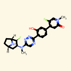 CN(c1cnc(-c2ccc(-c3cc(=O)n(C)cc3F)cc2O)nn1)[C@H]1C[C@@H]2CC[C@@H](N2)[C@H]1F